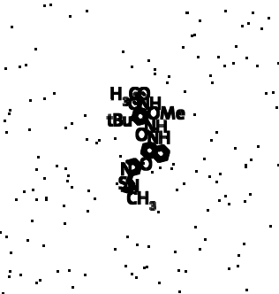 COc1c(NC(=O)Nc2ccc(Oc3ccnc(-c4nc(C)cs4)c3)c3ccccc23)cc(C(C)(C)C)cc1NS(C)(=O)=O